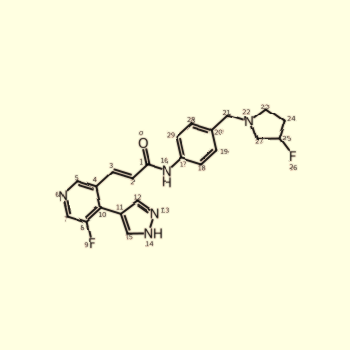 O=C(/C=C/c1cncc(F)c1-c1cn[nH]c1)Nc1ccc(CN2CCC(F)C2)cc1